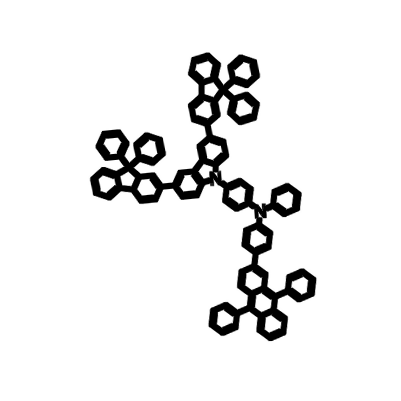 C1=CC2c3ccccc3C(c3ccccc3)(c3ccccc3)C2C=C1c1ccc2c(c1)c1cc(-c3ccc4c(c3)C(c3ccccc3)(c3ccccc3)c3ccccc3-4)ccc1n2-c1ccc(N(c2ccccc2)c2ccc(-c3ccc4c(-c5ccccc5)c5ccccc5c(-c5ccccc5)c4c3)cc2)cc1